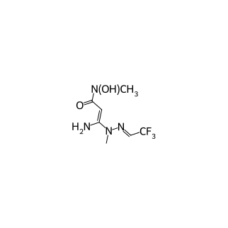 CN(O)C(=O)/C=C(\N)N(C)/N=C/C(F)(F)F